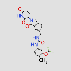 Cc1ccc(NC(=O)NCc2ccc3c(c2)C(=O)N(C2CCC(=O)NC2=O)C3)cc1OC(F)F